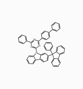 c1ccc(-c2ccc(-c3nc(-c4ccccc4)nc(-n4c5ccccc5c5ccc(C6(c7ccccc7)c7ccccc7-c7ccccc76)cc54)n3)cc2)cc1